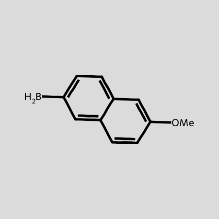 Bc1ccc2cc(OC)ccc2c1